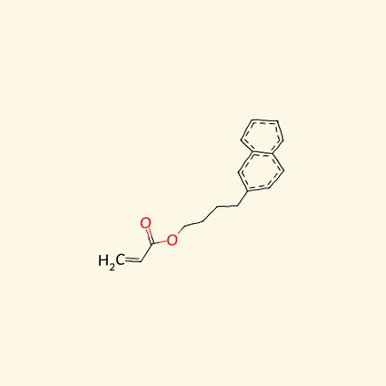 C=CC(=O)OCCCCc1ccc2ccccc2c1